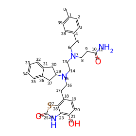 Cc1ccc(CCN(CCC(N)=O)CCN(CCc2ccc(O)c3[nH]c(=O)sc23)C2Cc3ccccc3C2)cc1